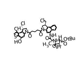 Cc1csc2c(O)cc3c(c12)[C@H](CCl)CN3C(=O)CCCC(=O)N1C[C@@H](CCl)c2c1cc(NC(=O)[C@H](C)NC(=O)[C@@H](NC(=O)OC(C)(C)C)C(C)C)c1ccccc21